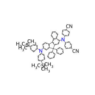 C[Si](C)(C)c1ccc(N(c2ccc([Si](C)(C)C)cc2)c2ccc3c(c2)C(c2ccccc2)(c2ccccc2)c2cc(N(c4ccc(C#N)cc4)c4ccc(C#N)cc4)c4ccccc4c2-3)cc1